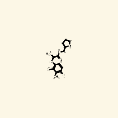 Cc1c(Cl)ccc(OC(C)C(=O)OCC2CCCO2)c1Cl